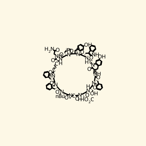 CCCC[C@H]1C(=O)N(C)CC(=O)N[C@@H](CC(=O)O)C(=O)N[C@@H](CO)C(=O)N(C)[C@@H](Cc2ccccc2)C(=O)N[C@H]2Cc3ccc(O)cc3N(CC(=O)N[C@@H](Cc3c[nH]c4ccccc34)C(=O)NC(Cc3ccc(O)cc3)C(=O)N[C@@H](CC(C)C)C(=O)N[C@H](C(=O)NCC(N)=O)CSCC(=O)N[C@@H](Cc3ccccc3)C(=O)N(C)[C@@H](Cc3ccccc3)C(=O)N1C)C2=O